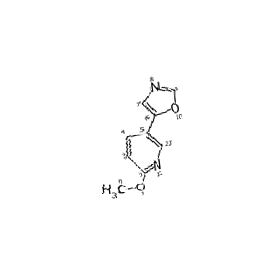 COc1ccc(-c2cnco2)cn1